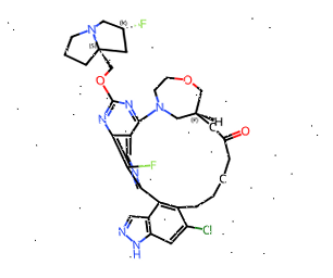 O=C1CCCCc2c(Cl)cc3[nH]ncc3c2-c2ncc3c(nc(OC[C@@]45CCCN4C[C@H](F)C5)nc3c2F)N2CCOC[C@H](C1)C2